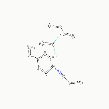 C=C(F)F.C=CC#N.C=CC=C.C=Cc1ccccc1